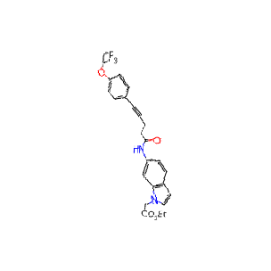 CCOC(=O)Cn1ccc2ccc(NC(=O)CCC#Cc3ccc(OC(F)(F)F)cc3)cc21